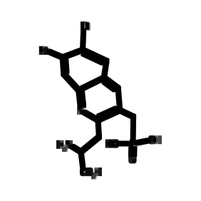 CCc1cc2cc(CP(=O)(O)O)c(CC(N)C(=O)O)nc2cc1CC